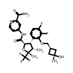 C[C@H]1[C@@H](c2ccc(F)c(F)c2OC[C@H]2C[C@](C)(O)C2)[C@H](C(=O)Nc2ccnc(C(N)=O)c2)O[C@@]1(C)C(F)(F)F